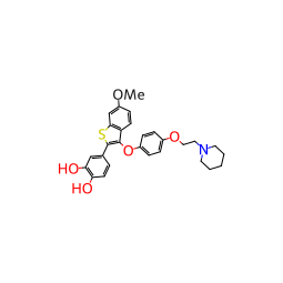 COc1ccc2c(Oc3ccc(OCCN4CCCCC4)cc3)c(-c3ccc(O)c(O)c3)sc2c1